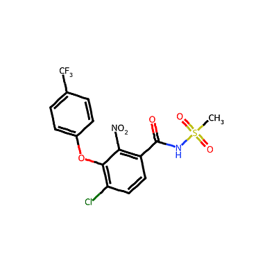 CS(=O)(=O)NC(=O)c1ccc(Cl)c(Oc2ccc(C(F)(F)F)cc2)c1[N+](=O)[O-]